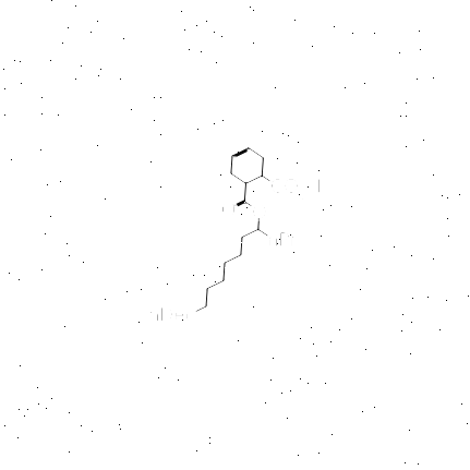 CCCCCCCCCCCCCCCCC(CCC)OC(=O)C1CC=CCC1C(=O)O